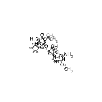 CCOc1nc(N)nc2c1ncn2[C@@H]1O[C@H](COP(=S)(NC(C)C(=O)OC(C)C)Oc2ccccc2)[C@@H](O)[C@]1(F)Cl